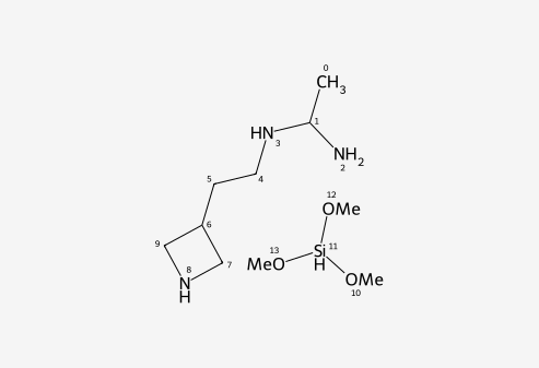 CC(N)NCCC1CNC1.CO[SiH](OC)OC